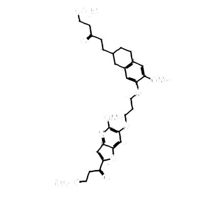 CCOC(=O)CCC(=O)CCC1CCc2cc(OC)c(OCCCOc3cc4sc(C(=O)CCC(=O)OCC)cc4nc3OC)cc2C1